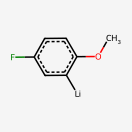 [Li][c]1cc(F)ccc1OC